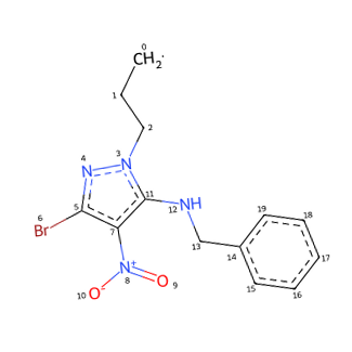 [CH2]CCn1nc(Br)c([N+](=O)[O-])c1NCc1ccccc1